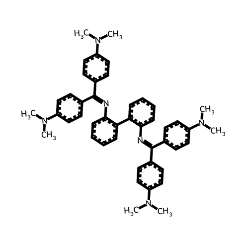 CN(C)c1ccc(C(=Nc2ccccc2-c2ccccc2N=C(c2ccc(N(C)C)cc2)c2ccc(N(C)C)cc2)c2ccc(N(C)C)cc2)cc1